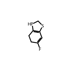 FC1=CC2=C(CC1)PCS2